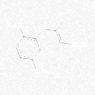 CCOC(=O)C=C(C)Nc1cc(OC)ccc1OC